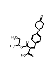 CCC(C)OC(=O)C(=Cc1ccc(N2CCC(=O)CC2)cc1)C(=O)O